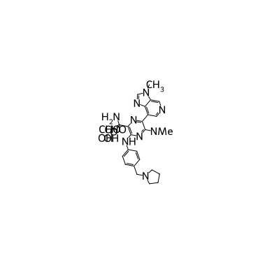 CNc1nc(Nc2ccc(CN3CCCC3)cc2)c(C(N)=O)nc1-c1cncc2c1ncn2C.O=CO.O=CO